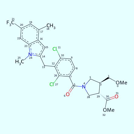 COC[C@@H]1CN(C(=O)c2ccc(Cl)c(Cc3cc4c(C)cc(C(F)(F)F)cc4n3C)c2Cl)C[C@H]1C(=O)OC